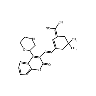 CC1(C)CC(C=Cc2c(C3CNCCO3)c3ccccc3oc2=O)=CC(=C(C#N)C#N)C1